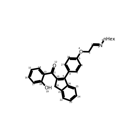 CCCCCCN=CCOc1ccc(C2=C(C(=O)c3ccccc3O)Cc3ccccc32)cc1